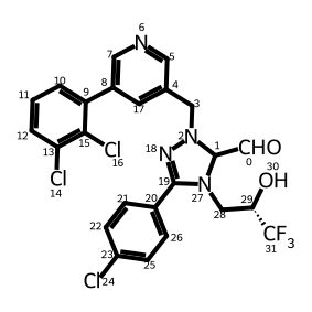 O=CC1N(Cc2cncc(-c3cccc(Cl)c3Cl)c2)N=C(c2ccc(Cl)cc2)N1C[C@H](O)C(F)(F)F